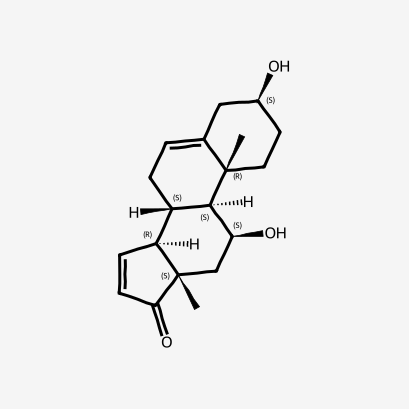 C[C@]12CC[C@H](O)CC1=CC[C@@H]1[C@@H]2[C@@H](O)C[C@]2(C)C(=O)C=C[C@@H]12